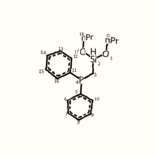 CCCO[SiH](CP(c1ccccc1)c1ccccc1)OCCC